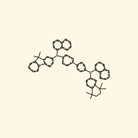 CC1(C)CCC(C)(C)c2cc(N(c3ccc(-c4ccc(N(c5ccc6c(c5)C(C)(C)c5ccccc5-6)c5cccc6ccccc56)cc4)cc3)c3cccc4ccccc34)ccc21